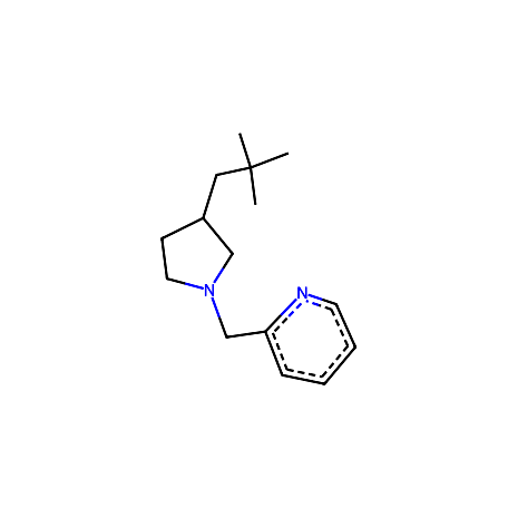 CC(C)(C)CC1CCN(Cc2ccccn2)C1